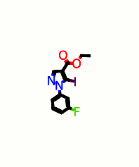 CCOC(=O)c1cnn(-c2cccc(F)c2)c1I